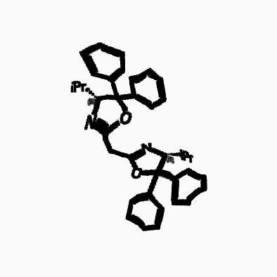 CC(C)[C@H]1N=C(CC2=N[C@H](C(C)C)C(c3ccccc3)(c3ccccc3)O2)OC1(c1ccccc1)c1ccccc1